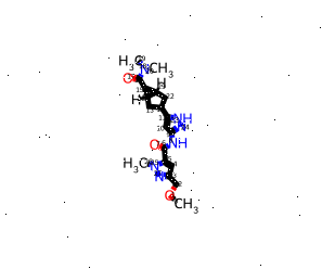 COCc1cc(C(=O)Nc2cc(C3C[C@@H]4C(C(=O)N(C)C)[C@@H]4C3)[nH]n2)n(C)n1